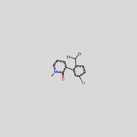 CCC(CC)c1ccc(Cl)cc1-c1cccn(C)c1=O